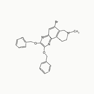 CN1CCc2c(c(Br)cc3nc(OCc4ccccc4)c(OCc4ccccc4)nc23)C1